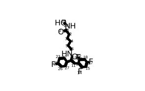 O=C(CCCCCNC(=O)C(=Cc1c(F)cc(F)cc1F)c1ccc(F)cc1)NO